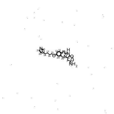 NC(=O)CC1C(=O)NC2=Nc3ccc(OCCCCn4ccnc4)cc3CN21